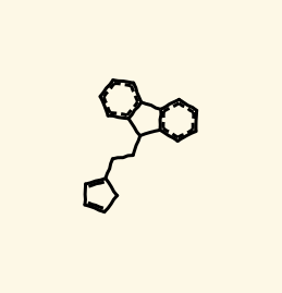 C1=CCC(CCC2c3ccccc3-c3ccccc32)=C1